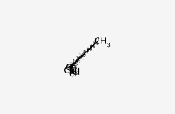 CCCCCCCCCCCCCCCCCC(=O)O[Si](Cl)(Cl)Cl